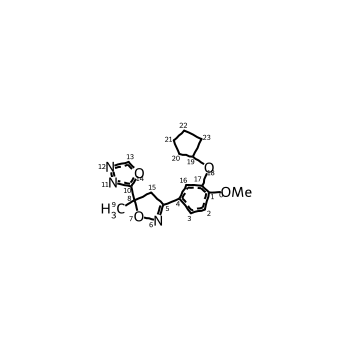 COc1ccc(C2=NOC(C)(c3nnco3)C2)cc1OC1CCCC1